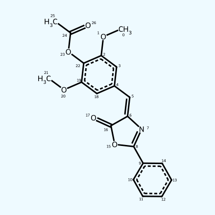 COc1cc(C=C2N=C(c3ccccc3)OC2=O)cc(OC)c1OC(C)=O